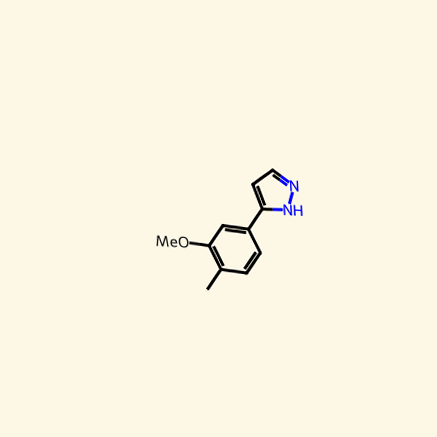 COc1cc(-c2ccn[nH]2)ccc1C